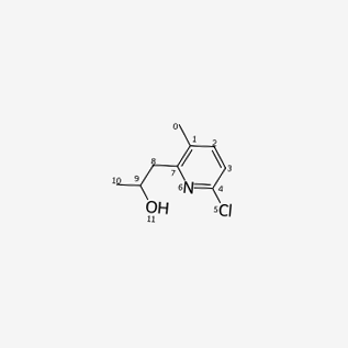 Cc1ccc(Cl)nc1CC(C)O